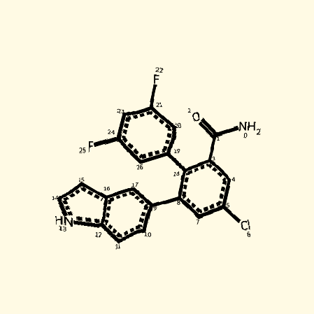 NC(=O)c1cc(Cl)cc(-c2ccc3[nH]ccc3c2)c1-c1cc(F)cc(F)c1